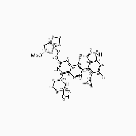 CO[C@@H]1CN2CCC[C@]2(COc2nc(N3CCC[C@@](C)(O)C3)c3cnc(-c4c(C5CC5)c(C)cc5[nH]ncc45)c(F)c3n2)C1